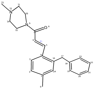 Cc1ccc(/C=C/C(=O)N2CCN(C)CC2)c(Cc2ccccc2)c1